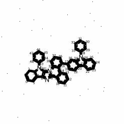 C1=CCC2C(=C1)c1nc3c4ccccc4c4c(-c5ccc6c7ccccc7n(-c7ccccc7)c6c5)cccc4n3c1N2c1ccccc1